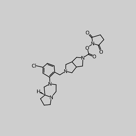 O=C(ON1C(=O)CCC1=O)N1CC2CN(Cc3ccc(Cl)cc3N3CCN4CCC[C@@H]4C3)CC2C1